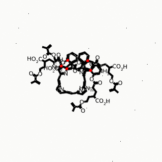 C=C(C)C(=O)OCCC(C[C@H](N)C(=O)Oc1ccccc1-c1c(-c2ccccc2OC(=O)[C@@H](N)CC(CCOC(=O)C(=C)C)C(=O)O)c2c(-c3ccccc3OC(=O)[C@@H](N)CC(CCOC(=O)C(=C)C)C(=O)O)c3nc(cc4ccc(cc5nc(cc1n2-c1ccccc1OC(=O)[C@@H](N)CC(CCOC(=O)C(=C)C)C(=O)O)C=C5)[nH]4)C=C3)C(=O)O